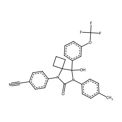 Cc1ccc(N2C(=O)N(c3ccc(C#N)cc3)C3(CCC3)C2(O)c2cccc(OC(F)(F)F)c2)cc1